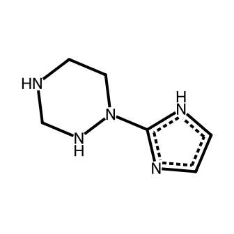 c1c[nH]c(N2CCNCN2)n1